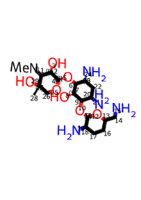 CNC1[C@@H](O)[C@@H](OC2[C@@H](O)C(O[C@H]3OC(CN)CCC3N)C(N)C[C@H]2N)OC[C@]1(C)O